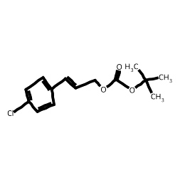 CC(C)(C)OC(=O)OC/C=C/c1ccc(Cl)cc1